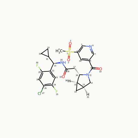 CS(=O)(=O)c1cncc(C(=O)N2C[C@H]3C[C@H]3[C@@H]2CC(=O)N[C@@H](c2cc(F)c(Cl)cc2F)C2CC2)c1